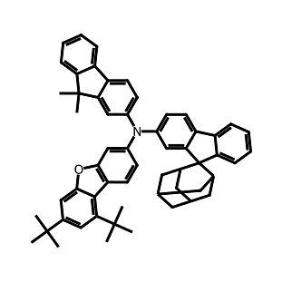 CC(C)(C)c1cc(C(C)(C)C)c2c(c1)oc1cc(N(c3ccc4c(c3)C(C)(C)c3ccccc3-4)c3ccc4c(c3)C3(c5ccccc5-4)C4CC5CC(C4)CC3C5)ccc12